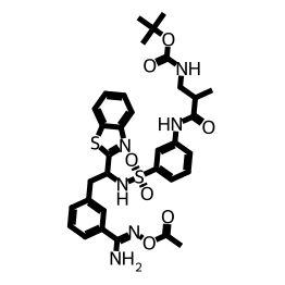 CC(=O)ON=C(N)c1cccc(CC(NS(=O)(=O)c2cccc(NC(=O)C(C)CNC(=O)OC(C)(C)C)c2)c2nc3ccccc3s2)c1